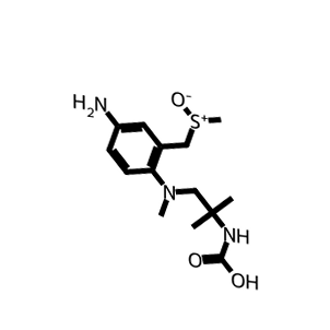 CN(CC(C)(C)NC(=O)O)c1ccc(N)cc1C[S+](C)[O-]